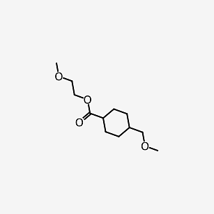 COCCOC(=O)C1CCC(COC)CC1